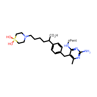 CCCCCNc1nc(N)nc(C)c1Cc1ccc(C(CCCCN2CCS(O)(O)CC2)C(=O)O)cc1